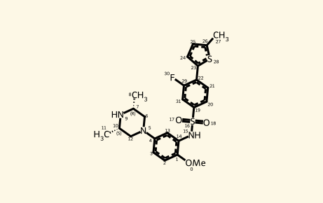 COc1ccc(N2C[C@@H](C)N[C@@H](C)C2)cc1NS(=O)(=O)c1ccc(-c2ccc(C)s2)c(F)c1